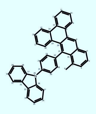 Cc1cccc2cc3c4ccccc4c4ccccc4c3c(-c3ccc(-n4c5ccccc5c5ccccc54)cc3)c12